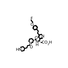 O=C(O)C[C@H](NC(=O)[C@@H]1CCCN(C(=O)CCC2CCNCC2)C1)c1cncc(CCc2ccc(OCCF)cc2)c1